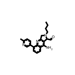 CCCCN1Cc2nc3c(-c4ccc(C)nc4)cccc3c(N)c2C1C=O